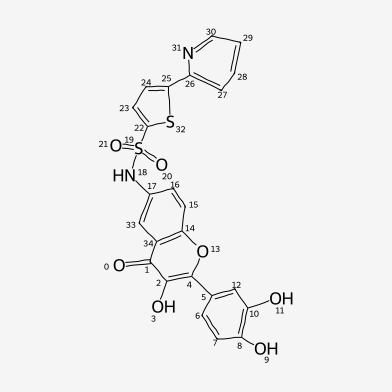 O=c1c(O)c(-c2ccc(O)c(O)c2)oc2ccc(NS(=O)(=O)c3ccc(-c4ccccn4)s3)cc12